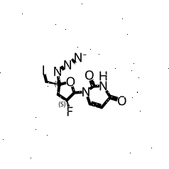 [N-]=[N+]=N[C@@]1(CI)C[C@H](F)C(n2ccc(=O)[nH]c2=O)O1